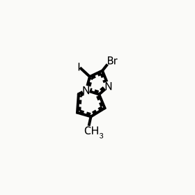 Cc1ccn2c(I)c(Br)nc2c1